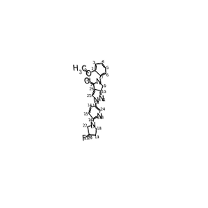 COc1ccccc1N1Cc2nn(-c3ccc(N4CC[C@@H](F)C4)nc3)cc2C1=O